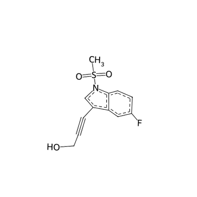 CS(=O)(=O)n1cc(C#CCO)c2cc(F)ccc21